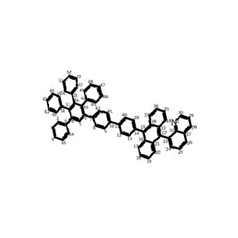 c1ccc(-c2cc(-c3ccc(-c4ccc(-c5c6ccccc6c(-c6cccc7cccnc67)c6ccccc56)cc4)cc3)c(-c3ccccc3)c(-c3ccccc3)c2-c2ccccc2)cc1